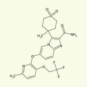 Cc1ccc(OCC(F)(F)F)c(Oc2ccc3nc(C(N)=O)c(C4(C)CCS(=O)(=O)CC4)n3c2)n1